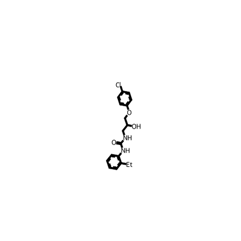 CCc1ccccc1NC(=O)NCC(O)COc1ccc(Cl)cc1